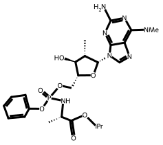 CNc1nc(N)nc2c1ncn2[C@@H]1O[C@H](COP(=O)(N[C@@H](C)C(=O)OC(C)C)Oc2ccccc2)[C@@H](O)[C@@H]1C